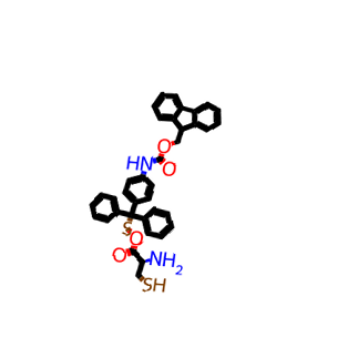 N[C@@H](CS)C(=O)OSC(c1ccccc1)(c1ccccc1)c1ccc(NC(=O)OCC2c3ccccc3-c3ccccc32)cc1